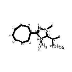 CCCCCCC(C)C1N(C)N=C(C2CCCCCCC2)N1N